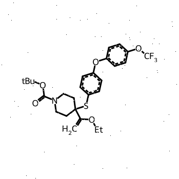 C=C(OCC)C1(Sc2ccc(Oc3ccc(OC(F)(F)F)cc3)cc2)CCN(C(=O)OC(C)(C)C)CC1